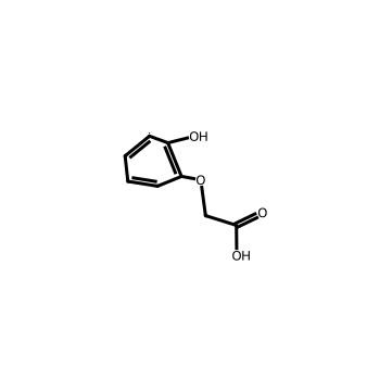 O=C(O)COc1ccc[c]c1O